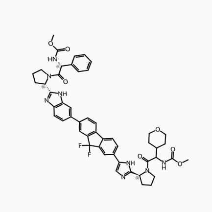 COC(=O)NC(C(=O)N1CCC[C@H]1c1ncc(-c2ccc3c(c2)C(F)(F)c2cc(-c4ccc5nc([C@@H]6CCCN6C(=O)[C@H](NC(=O)OC)c6ccccc6)[nH]c5c4)ccc2-3)[nH]1)C1CCOCC1